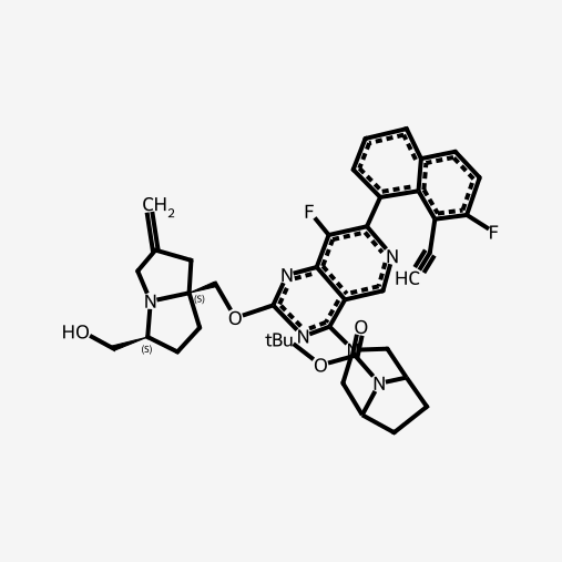 C#Cc1c(F)ccc2cccc(-c3ncc4c(N5CC6CCC(C5)N6C(=O)OC(C)(C)C)nc(OC[C@@]56CC[C@@H](CO)N5CC(=C)C6)nc4c3F)c12